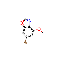 COc1cc(Br)cc2ocnc12